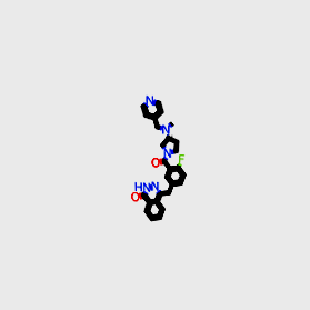 CN(Cc1ccncc1)[C@@H]1CCN(C(=O)c2cc(Cc3n[nH]c(=O)c4ccccc34)ccc2F)C1